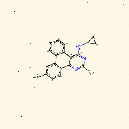 Cc1ccc(-c2nc(C(F)(F)F)nc(NC3CC3)c2-c2ccccc2)cc1